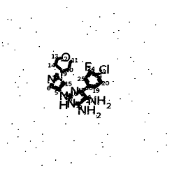 Nc1nc(Nc2cnn(C3CCOCC3)c2)nc(-c2ccc(Cl)c(F)c2)c1N